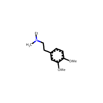 CCN(C)CCc1ccc(OC)c(OC)c1